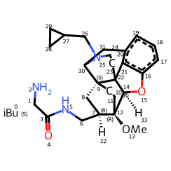 CC[C@H](C)C(N)C(=O)NC[C@H]1C[C@@]23CC[C@]1(OC)[C@@H]1Oc4cccc5c4C12CCN(CC1CC1)C3C5